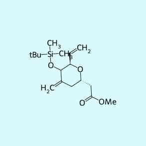 C=C[C@H]1O[C@H](CC(=O)OC)CC(=C)C1O[Si](C)(C)C(C)(C)C